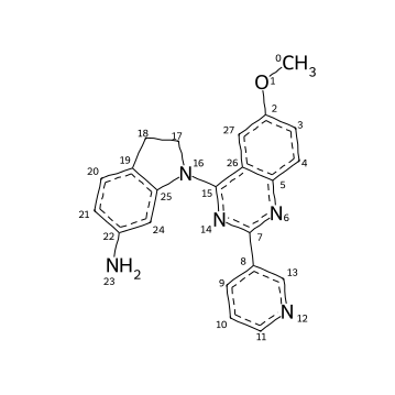 COc1ccc2nc(-c3cccnc3)nc(N3CCc4ccc(N)cc43)c2c1